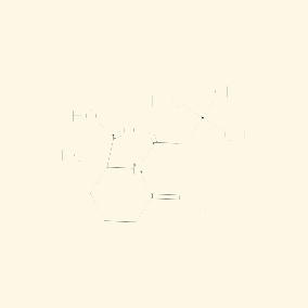 C=C1CCC[C@@](C)(C(=O)O)N1C(=O)OC(C)(C)C